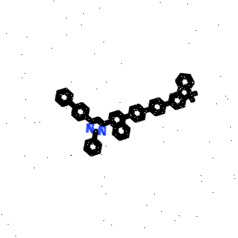 CC1(C)c2ccccc2-c2cc(-c3ccc(-c4ccc(-c5ccc(-c6cc(-c7ccc(-c8ccccc8)cc7)nc(-c7ccccc7)n6)c6ccccc56)cc4)cc3)ccc21